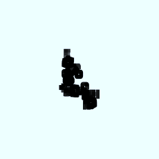 CNC(=O)c1c(-c2ccc(F)cc2)oc2cc(N(C)S)c([C@@H]3CCCN(C(=O)c4cc5ncccc5[nH]4)C3)cc12